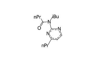 CCCC(=O)N(c1nccc(CCC)n1)C(C)CC